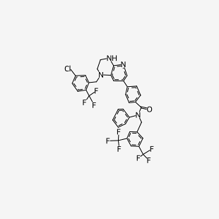 O=C(c1ccc(-c2cnc3c(c2)N(Cc2cc(Cl)ccc2C(F)(F)F)CCN3)cc1)N(Cc1cc(C(F)(F)F)cc(C(F)(F)F)c1)c1ccccc1